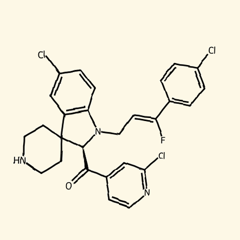 O=C(c1ccnc(Cl)c1)[C@@H]1N(C/C=C(\F)c2ccc(Cl)cc2)c2ccc(Cl)cc2C12CCNCC2